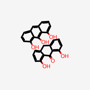 O=C1c2c(O)cccc2Cc2cccc(O)c21.Oc1cccc2cc3cccc(O)c3c(O)c12